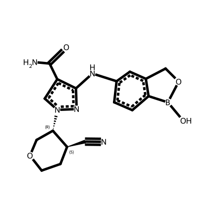 N#C[C@H]1CCOC[C@@H]1n1cc(C(N)=O)c(Nc2ccc3c(c2)COB3O)n1